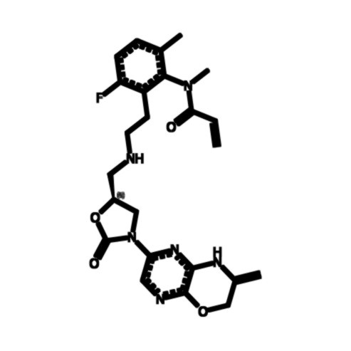 C=CC(=O)N(C)c1c(C)ccc(F)c1CCNC[C@H]1CN(c2cnc3c(n2)NC(=C)CO3)C(=O)O1